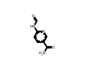 NC(=O)c1ccc(NC=O)nc1